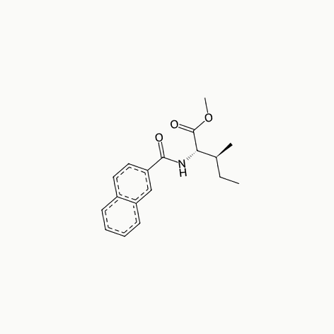 CC[C@H](C)[C@H](NC(=O)c1ccc2ccccc2c1)C(=O)OC